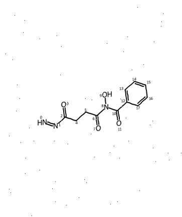 N=NC(=O)CCC(=O)N(O)C(=O)c1ccccc1